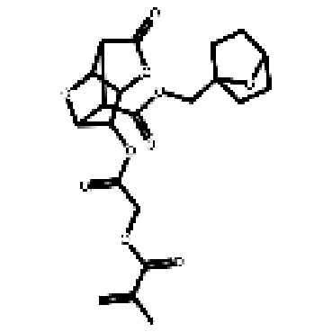 C=C(C)C(=O)OCC(=O)OC1C2OC(=O)C3C2OC1C3C(=O)OCC12CCC(CC1)O2